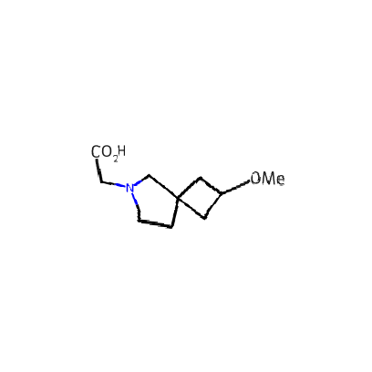 COC1CC2(CCN(CC(=O)O)C2)C1